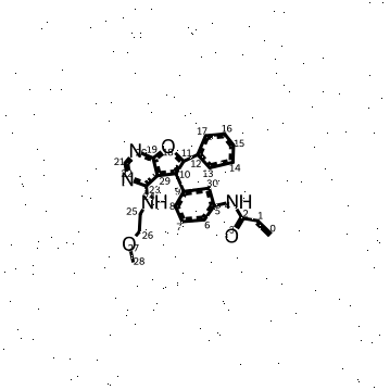 C=CC(=O)Nc1cccc(-c2c(-c3ccccc3)oc3ncnc(NCCOC)c23)c1